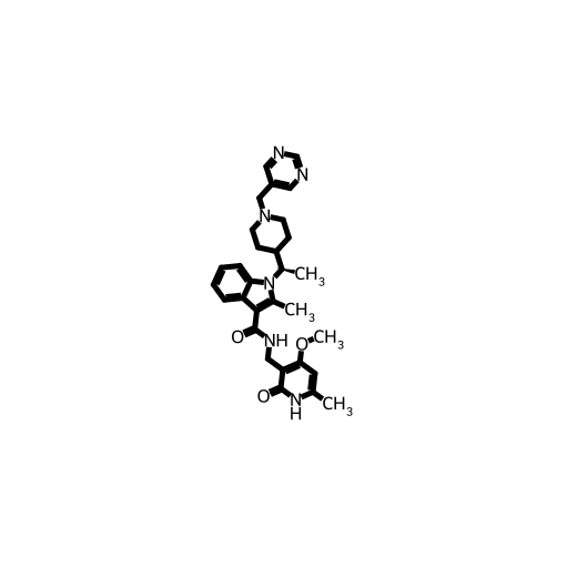 COc1cc(C)[nH]c(=O)c1CNC(=O)c1c(C)n([C@H](C)C2CCN(Cc3cncnc3)CC2)c2ccccc12